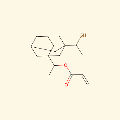 C=CC(=O)OC(C)C12CC3CC(CC(C(C)S)(C3)C1)C2